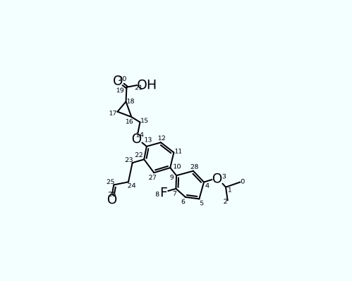 CC(C)Oc1ccc(F)c(-c2ccc(OCC3CC3C(=O)O)c(CCC=O)c2)c1